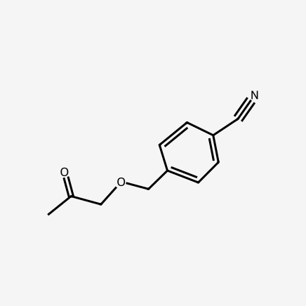 CC(=O)COCc1ccc(C#N)cc1